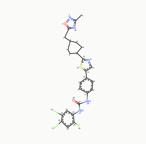 Cc1noc(CC2CCC(c3ncc(-c4ccc(NC(=O)Nc5cc(F)c(F)cc5F)cc4)s3)CC2)n1